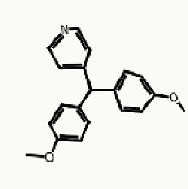 COc1ccc(C(c2ccncc2)c2ccc(OC)cc2)cc1